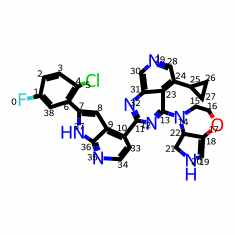 Fc1ccc(Cl)c(-c2cc3c(-c4nc(N5CCOC6=CNCC65)c5c(C6CC6)cncc5n4)ccnc3[nH]2)c1